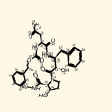 CC(C)(C)NC(=O)[C@@H]1[C@H](O)CCN1C(=O)[C@@H](O)[C@H](Cc1ccccc1)NC(=O)[C@H](CC(N)=O)NC(=O)OCc1ccccc1